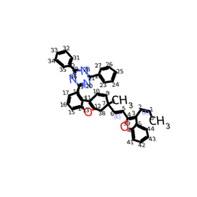 C/C=C\c1c(/C=C/C2(C)C=Cc3c(oc4cccc(-c5nc(-c6ccccc6)nc(-c6ccccc6)n5)c34)C2)oc2ccccc12